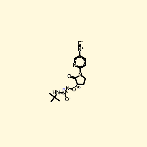 [C-]#[N+]c1ccc(N2CC[C@@H](O/N=[N+](\[O-])NC(C)(C)C)C2=O)nc1